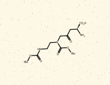 CC(C)(C)OC(=O)NCCN(CC(=O)C[C@H](N)C(=O)O)C(=O)OC(C)(C)C